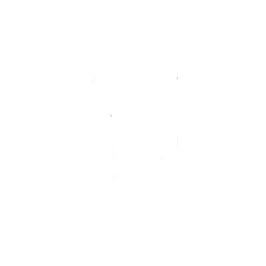 Fc1cc(F)cc(-c2[c]cccc2Cl)c1